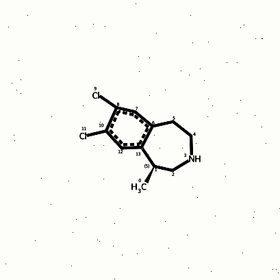 C[C@@H]1CNCCc2cc(Cl)c(Cl)cc21